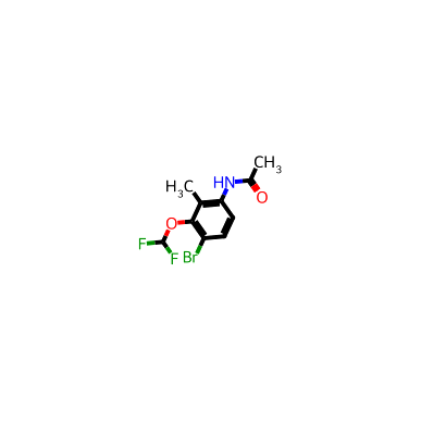 CC(=O)Nc1ccc(Br)c(OC(F)F)c1C